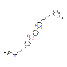 CC/C=C\CCCCc1ccc(C(=O)Oc2ccc(-c3ncc(CCCCC[C@@H](C)CC)cn3)cc2)cc1